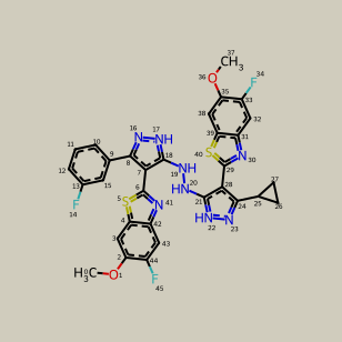 COc1cc2sc(-c3c(-c4cccc(F)c4)n[nH]c3NNc3[nH]nc(C4CC4)c3-c3nc4cc(F)c(OC)cc4s3)nc2cc1F